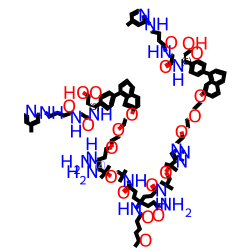 CC(=O)CCCC(=O)NC(CCC(N)=O)(CCC(=O)NC(C)(C)COC(C)(C)/C(N)=C(\CCOCCOCCOc1ccc2cccc(-c3ccc([C@H](CC(=O)O)NC(=O)CNC(=O)CCCNc4cc(C)ccn4)cc3)c2c1)NN)CCC(=O)NC(C)(C)COC(C)(C)c1cn(CCOCCOCCOc2ccc3cccc(-c4ccc([C@H](CC(=O)O)NC(=O)CNC(=O)CCCNc5cc(C)ccn5)cc4)c3c2)nn1